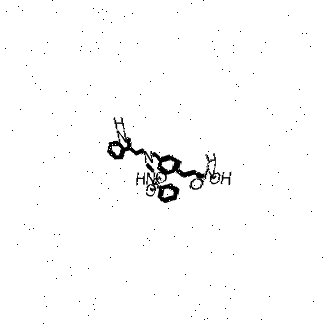 O=C(/C=C/c1ccc(CN(CCNS(=O)(=O)c2ccccc2)CCc2c[nH]c3ccccc23)cc1)NO